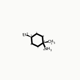 CC[C@H]1CC[C@](C)(N)CC1